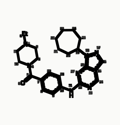 CCN1CCN(C(=O)c2ccc(Nc3ncc4cnn(C5CCCCCC5)c4n3)cc2)CC1